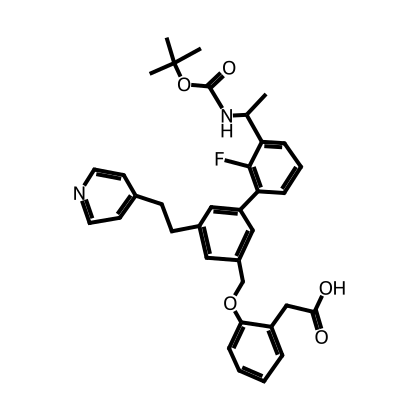 CC(NC(=O)OC(C)(C)C)c1cccc(-c2cc(CCc3ccncc3)cc(COc3ccccc3CC(=O)O)c2)c1F